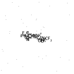 CC1CC(O)(c2nc(C(F)(F)F)co2)CC(COc2cc(C(F)(F)F)c3c(c2)ncn3C(C)C)N1